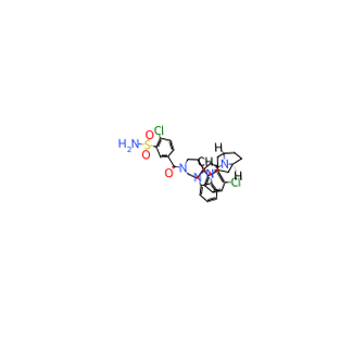 Cc1nc2ccccc2n1C1C[C@H]2CC[C@@H](C1)N2CCC1(c2cccc(Cl)c2)CCN(C(=O)c2ccc(Cl)c(S(N)(=O)=O)c2)CC1